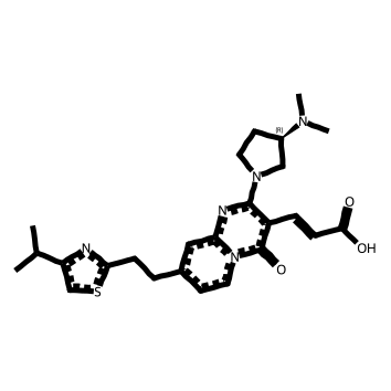 CC(C)c1csc(CCc2ccn3c(=O)c(C=CC(=O)O)c(N4CC[C@@H](N(C)C)C4)nc3c2)n1